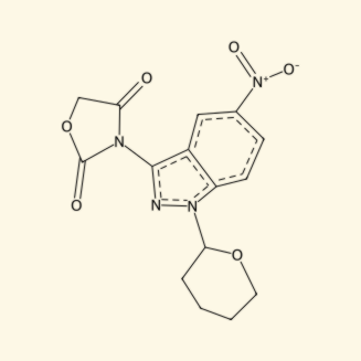 O=C1COC(=O)N1c1nn(C2CCCCO2)c2ccc([N+](=O)[O-])cc12